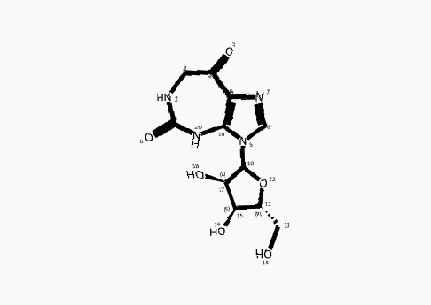 O=C1NCC(=O)c2ncn(C3O[C@H](CO)[C@@H](O)[C@H]3O)c2N1